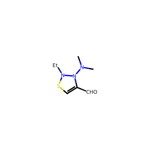 CCN1SC=C(C=O)N1N(C)C